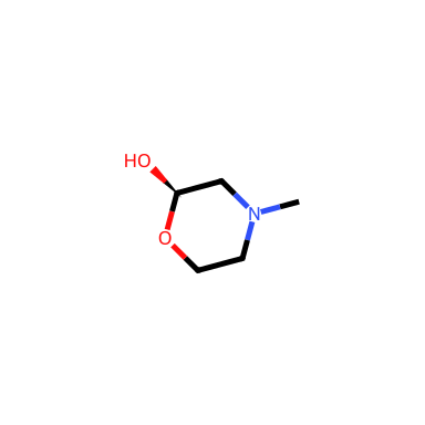 CN1CCO[C@@H](O)C1